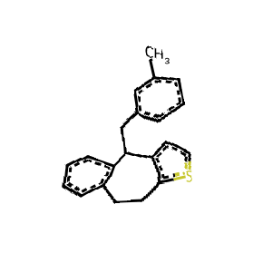 Cc1cccc(CC2c3ccccc3CCc3sccc32)c1